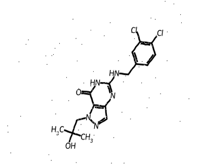 CC(C)(O)Cn1ncc2nc(NCc3ccc(Cl)c(Cl)c3)[nH]c(=O)c21